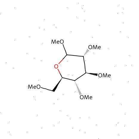 COC[C@H]1OC(OC)[C@H](OC)[C@@H](OC)[C@@H]1OC